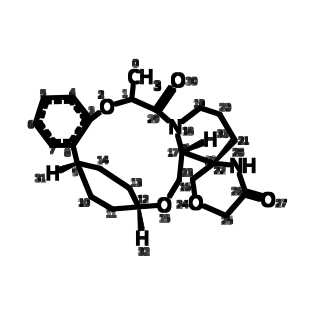 CC1Oc2ccccc2[C@H]2CC[C@H](CC2)OC[C@@H]2N(CCC[C@@]23COCC(=O)N3)C1=O